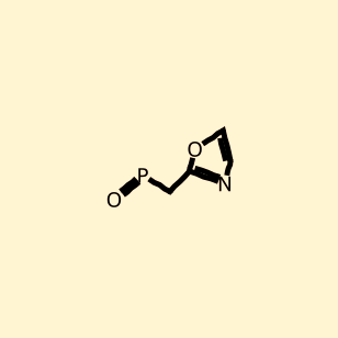 O=PCc1ncco1